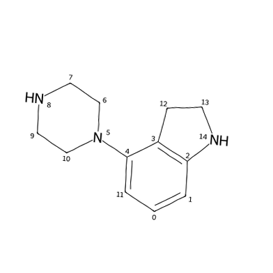 c1cc2c(c(N3CCNCC3)c1)CCN2